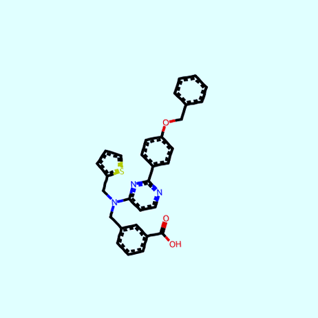 O=C(O)c1cccc(CN(Cc2cccs2)c2ccnc(-c3ccc(OCc4ccccc4)cc3)n2)c1